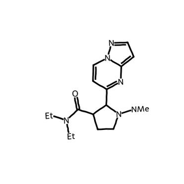 CCN(CC)C(=O)C1CCN(NC)C1c1ccn2nccc2n1